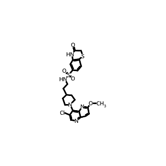 COc1ccc2ncc(Cl)c(N3CCC(CCNS(=O)(=O)c4ccc5c(c4)NC(=O)CS5)CC3)c2n1